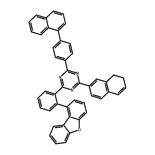 C1=Cc2ccc(-c3nc(-c4ccc(-c5cccc6ccccc56)cc4)nc(-c4ccccc4-c4cccc5oc6ccccc6c45)n3)cc2CC1